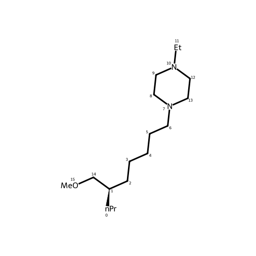 CCC[C@H](CCCCCN1CCN(CC)CC1)COC